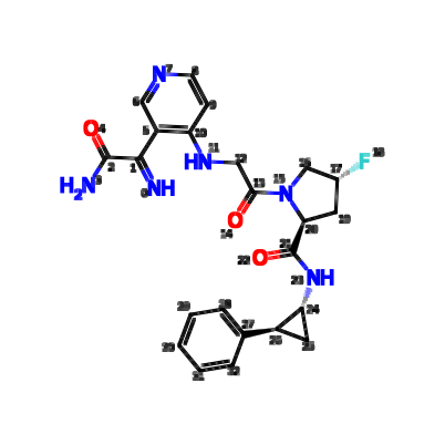 N=C(C(N)=O)c1cnccc1NCC(=O)N1C[C@H](F)C[C@H]1C(=O)N[C@@H]1C[C@H]1c1ccccc1